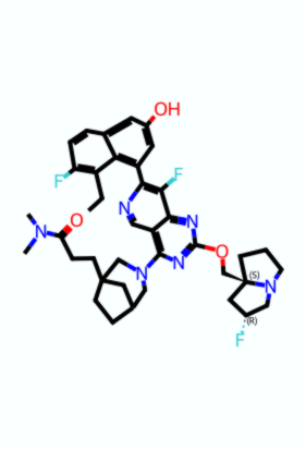 CCc1c(F)ccc2cc(O)cc(-c3ncc4c(N5CC6CCC(CCC(=O)N(C)C)(C6)C5)nc(OC[C@@]56CCCN5C[C@H](F)C6)nc4c3F)c12